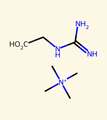 C[N+](C)(C)C.N=C(N)NCC(=O)O